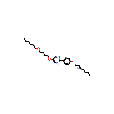 CCCC/C=C/COc1ccc(-c2ncc(OCCCCOCCCCCC)cn2)cc1